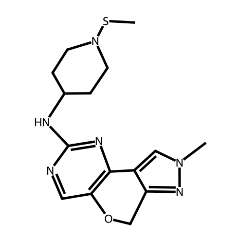 CSN1CCC(Nc2ncc3c(n2)-c2cn(C)nc2CO3)CC1